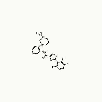 Cc1ccc(F)c(-c2nc(C(=O)Nc3cnccc3[C@@H]3CCC[C@H](N)C3)cs2)c1F